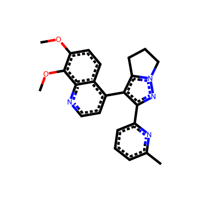 COc1ccc2c(-c3c(-c4cccc(C)n4)nn4c3CCC4)ccnc2c1OC